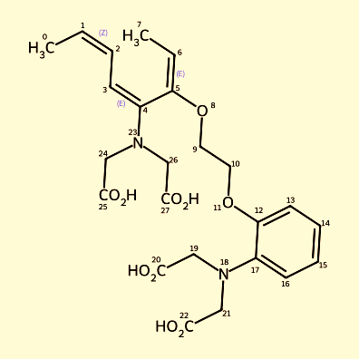 C\C=C/C=C(\C(=C/C)OCCOc1ccccc1N(CC(=O)O)CC(=O)O)N(CC(=O)O)CC(=O)O